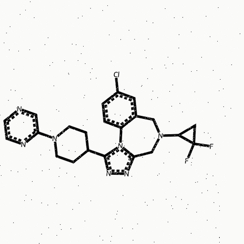 FC1(F)CC1N1Cc2cc(Cl)ccc2-n2c(nnc2C2CCN(c3cnccn3)CC2)C1